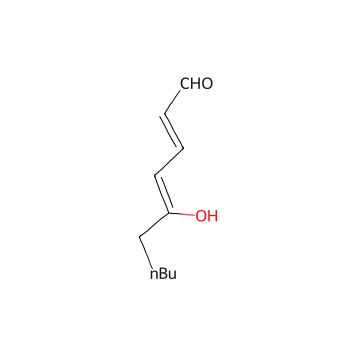 CCCCCC(O)=CC=CC=O